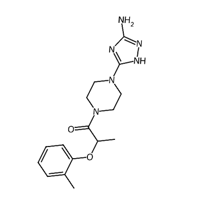 Cc1ccccc1OC(C)C(=O)N1CCN(c2nc(N)n[nH]2)CC1